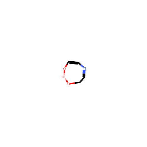 B1OC=CN=CCO1